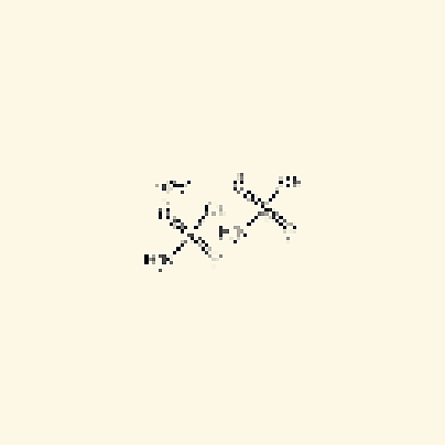 NS(=O)(=O)[O-].NS(=O)(=O)[O-].[Pt+2]